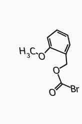 COc1ccccc1COC(=O)Br